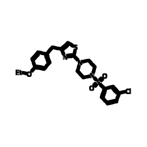 CCOc1ccc(Cc2csc(N3CCN(S(=O)(=O)c4cccc(Cl)c4)CC3)n2)cc1